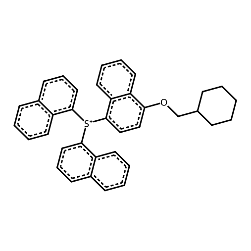 c1ccc2c([S+](c3cccc4ccccc34)c3ccc(OCC4CCCCC4)c4ccccc34)cccc2c1